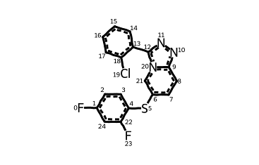 Fc1ccc(Sc2ccc3nnc(-c4ccccc4Cl)n3c2)c(F)c1